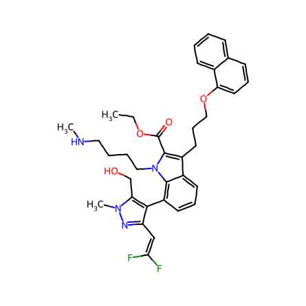 CCOC(=O)c1c(CCCOc2cccc3ccccc23)c2cccc(-c3c(C=C(F)F)nn(C)c3CO)c2n1CCCCNC